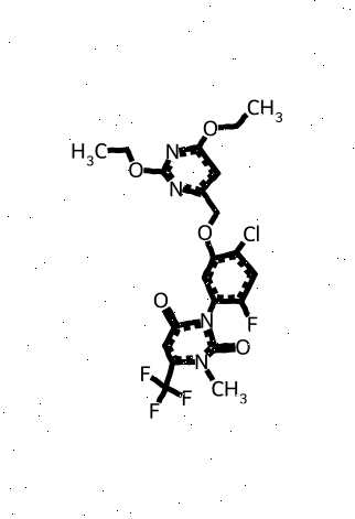 CCOc1cc(COc2cc(-n3c(=O)cc(C(F)(F)F)n(C)c3=O)c(F)cc2Cl)nc(OCC)n1